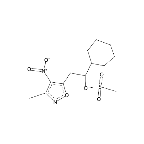 Cc1noc(CC(OS(C)(=O)=O)C2CCCCC2)c1[N+](=O)[O-]